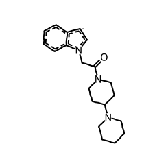 O=C(Cn1c[c]c2ccccc21)N1CCC(N2CCCCC2)CC1